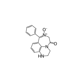 O=C1C[N+]([O-])=C(c2ccccc2)c2cccc3c2N1CCN3